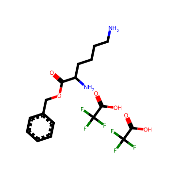 NCCCCC(N)C(=O)OCc1ccccc1.O=C(O)C(F)(F)F.O=C(O)C(F)(F)F